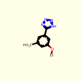 CCOc1cc(C(=O)O)cc(-c2nnn[nH]2)c1